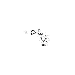 Bc1ccc(C(=O)CNC(=O)[C@@H]2CC[C@H](I)N2C(=O)OC(C)(C)C)cc1